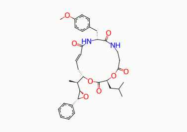 COc1ccc(C[C@H]2NC(=O)/C=C/C[C@@H]([C@H](C)[C@H]3O[C@@H]3c3ccccc3)OC(=O)[C@H](CC(C)C)OC(=O)CCNC2=O)cc1